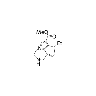 CCC1CC=C2CNCCn3cc(C(=O)OC)c1c32